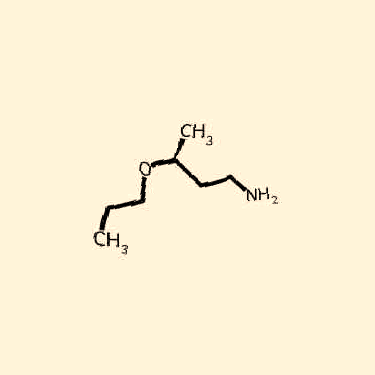 CCCO[C@@H](C)CCN